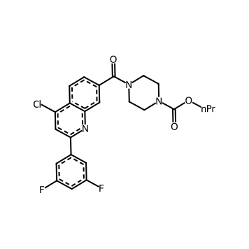 CCCOC(=O)N1CCN(C(=O)c2ccc3c(Cl)cc(-c4cc(F)cc(F)c4)nc3c2)CC1